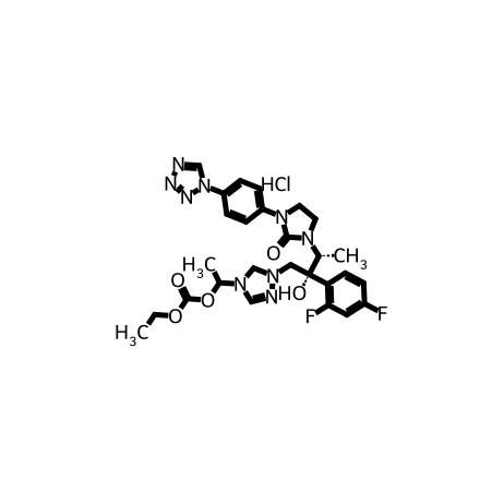 CCOC(=O)OC(C)N1C=NN(C[C@](O)(c2ccc(F)cc2F)[C@@H](C)N2CCN(c3ccc(-n4cnnn4)cc3)C2=O)C1.Cl